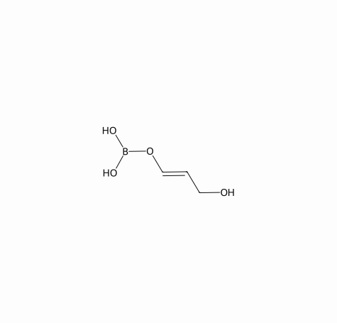 OCC=COB(O)O